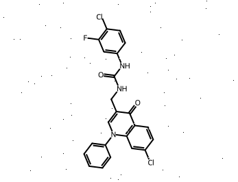 O=C(NCc1cn(-c2ccccc2)c2cc(Cl)ccc2c1=O)Nc1ccc(Cl)c(F)c1